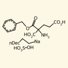 CCCCCCCCCCC[CH2][Na].NC(CCC(=O)O)(C(=O)O)C(=O)OCc1ccccc1.O=S(=O)(O)O